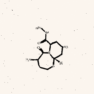 CCCNC(=O)C1CCC[C@@H]2SCCC(N)C(=O)N12.Cl